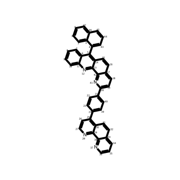 c1ccc2c(-c3c4ccccc4nc4c3ccc3ccc(-c5ccc(-c6ccnc7c6ccc6cccnc67)cc5)nc34)cccc2c1